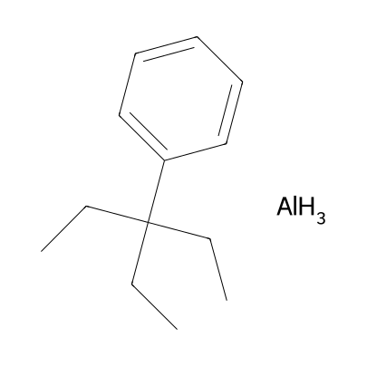 CCC(CC)(CC)c1ccccc1.[AlH3]